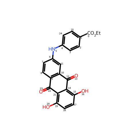 CCOC(=O)c1ccc(Nc2ccc3c(c2)C(=O)c2c(O)ccc(O)c2C3=O)cc1